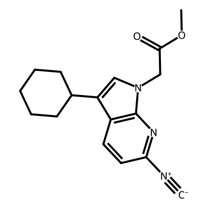 [C-]#[N+]c1ccc2c(C3CCCCC3)cn(CC(=O)OC)c2n1